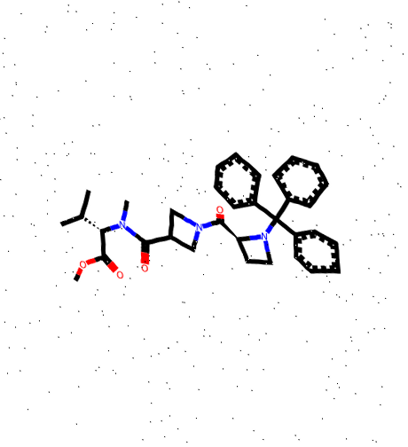 COC(=O)[C@H](C(C)C)N(C)C(=O)C1CN(C(=O)[C@@H]2CCN2C(c2ccccc2)(c2ccccc2)c2ccccc2)C1